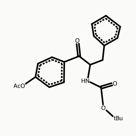 CC(=O)Oc1ccc(C(=O)C(Cc2ccccc2)NC(=O)OC(C)(C)C)cc1